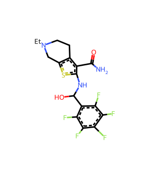 CCN1CCc2c(sc(NC(O)c3c(F)c(F)c(F)c(F)c3F)c2C(N)=O)C1